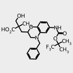 CC(CO)(CC1CN(Cc2ccccc2)c2cc(NC(=O)OC(C)(C)C(F)(F)F)ccc2O1)C(=O)O